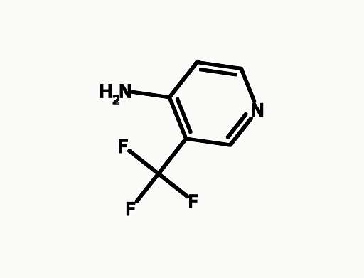 Nc1ccncc1C(F)(F)F